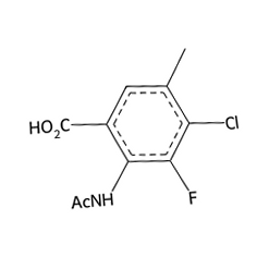 CC(=O)Nc1c(C(=O)O)cc(C)c(Cl)c1F